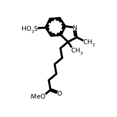 COC(=O)CCCCCC1(C)C(C)=Nc2ccc(S(=O)(=O)O)cc21